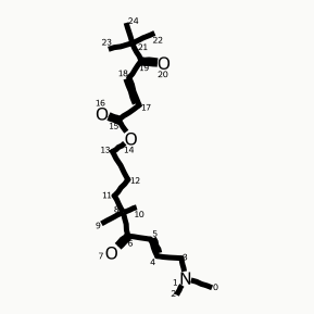 CN(C)C/C=C/C(=O)C(C)(C)CCCOC(=O)/C=C/C(=O)C(C)(C)C